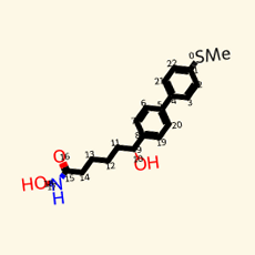 CSc1ccc(-c2ccc([C@H](O)CCCCC(=O)NO)cc2)cc1